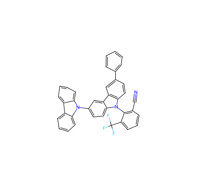 N#Cc1cccc(C(F)(F)F)c1-n1c2ccc(-c3ccccc3)cc2c2cc(-n3c4ccccc4c4ccccc43)ccc21